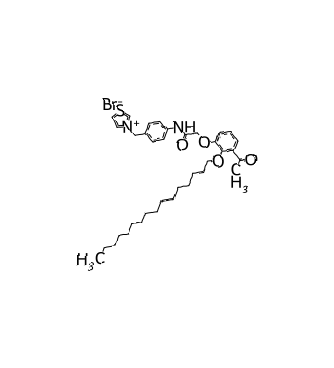 CCCCCCCCCCCCCCCCOc1c(OCC(=O)Nc2ccc(C[n+]3ccsc3)cc2)cccc1C(C)=O.[Br-]